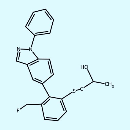 CC(O)CSc1cccc(CF)c1-c1ccc2c(cnn2-c2ccccc2)c1